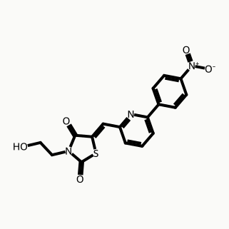 O=C1S/C(=C\c2cccc(-c3ccc([N+](=O)[O-])cc3)n2)C(=O)N1CCO